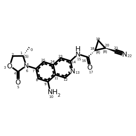 C[C@H]1COC(=O)N1c1cc(N)c2cnc(NC(=O)[C@@H]3C[C@H]3C#N)cc2c1